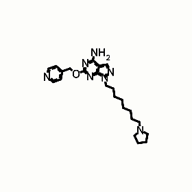 Nc1nc(OCc2ccncc2)nc2c1cnn2CCCCCCCCN1CCCC1